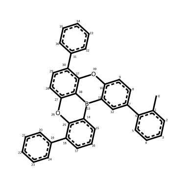 Cc1ccccc1-c1ccc2c(c1)B1c3cccc(-c4ccccc4)c3Oc3ccc(-c4ccccc4)c(c31)O2